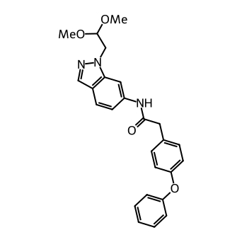 COC(Cn1ncc2ccc(NC(=O)Cc3ccc(Oc4ccccc4)cc3)cc21)OC